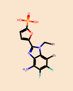 CCc1c(F)c(F)c(N)c2nc(-c3ccc(P(=O)(O)O)o3)n(CC(C)C)c12